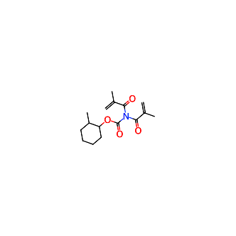 C=C(C)C(=O)N(C(=O)OC1CCCCC1C)C(=O)C(=C)C